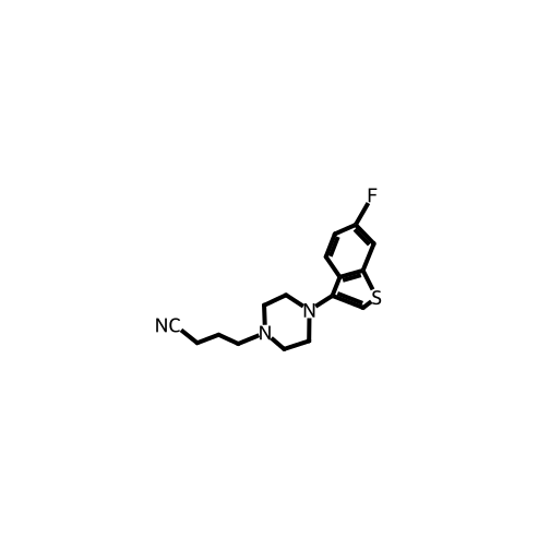 N#CCCCN1CCN(c2csc3cc(F)ccc23)CC1